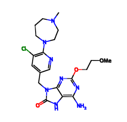 COCCOc1nc(N)c2[nH]c(=O)n(Cc3cnc(N4CCCN(C)CC4)c(Cl)c3)c2n1